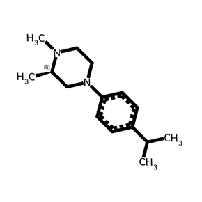 CC(C)c1ccc(N2CCN(C)[C@H](C)C2)cc1